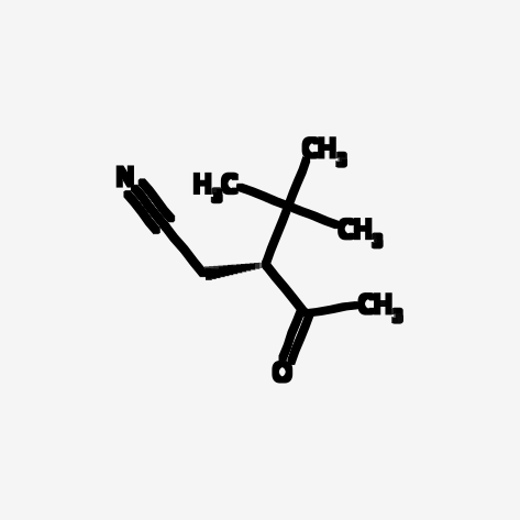 CC(=O)[C@H](CC#N)C(C)(C)C